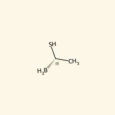 B[C@@H](C)S